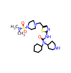 CN(C)S(=O)(=O)N1CCN(Cc2cnc(NC(=O)N(C3CCCCC3)C3CCNCC3)s2)CC1